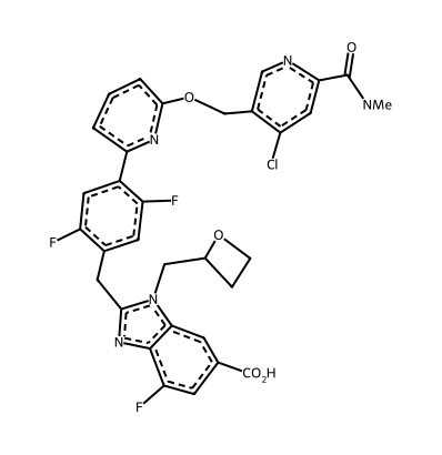 CNC(=O)c1cc(Cl)c(COc2cccc(-c3cc(F)c(Cc4nc5c(F)cc(C(=O)O)cc5n4CC4CCO4)cc3F)n2)cn1